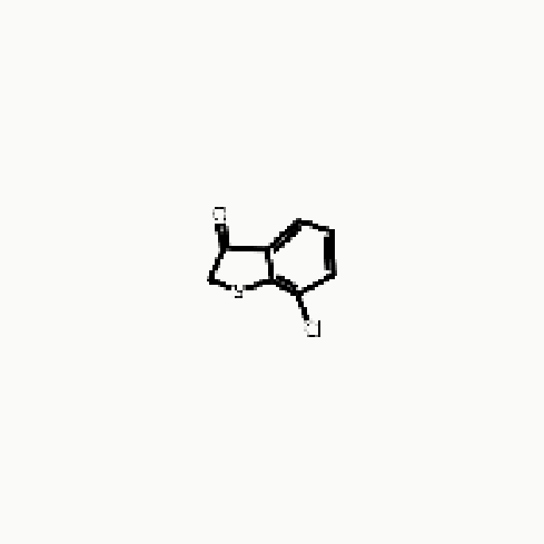 O=C1CSc2c(Cl)cccc21